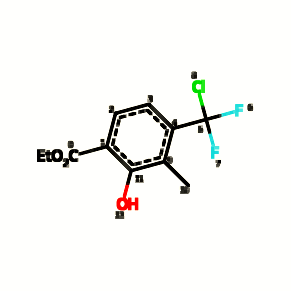 CCOC(=O)c1ccc(C(F)(F)Cl)c(C)c1O